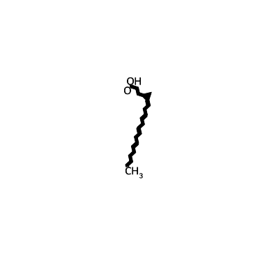 CCCCCC=CCC=CCC=CCC=C1CC1CCC(=O)O